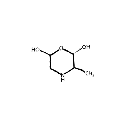 CC1NCC(O)O[C@@H]1O